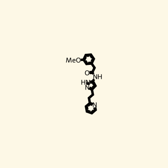 COc1cccc(CC(=O)Nc2cc(CCc3ccccn3)n[nH]2)c1